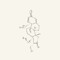 CCS[C@H]1C(=O)C[C@H]2[C@@H]3CCC4=CC(=O)C=C[C@]4(C)[C@@]3(F)[C@@H](OC(C)=O)C[C@]12C